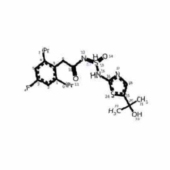 CC(C)c1cc(F)cc(C(C)C)c1CC(=O)/N=[SH](=O)\Nc1ncc(C(C)(C)O)s1